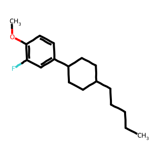 CCCCCC1CCC(c2ccc(OC)c(F)c2)CC1